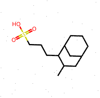 CC1CC2CCCC(C2)C1CCCS(=O)(=O)O